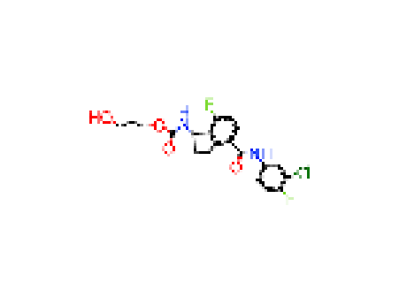 O=C(N[C@H]1CCc2c(C(=O)Nc3ccc(F)c(Cl)c3)ccc(F)c21)OCCCO